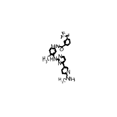 CNc1ccc(-c2ccnc(Nc3cc(NC(=O)c4cccc(C(F)(F)F)c4)ccc3C)n2)cn1